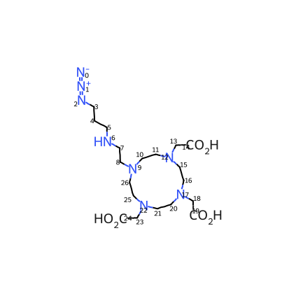 [N-]=[N+]=NCCCNCCN1CCN(CC(=O)O)CCN(CC(=O)O)CCN(CC(=O)O)CC1